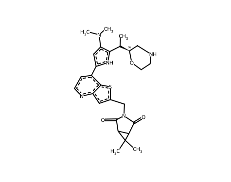 CC(c1[nH]c(-c2ccnc3cc(CN4C(=O)C5C(C4=O)C5(C)C)sc23)cc1N(C)C)[C@H]1CNCCO1